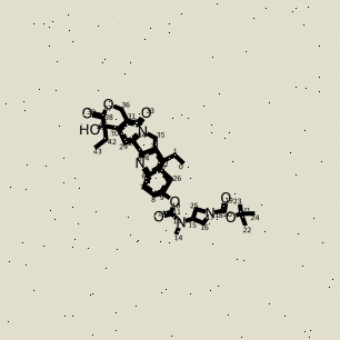 CCc1c2c(nc3ccc(OC(=O)N(C)C4CN(C(=O)OC(C)(C)C)C4)cc13)-c1cc3c(c(=O)n1C2)COC(=O)[C@]3(O)CC